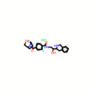 Cl.O=C(NCC(O)C1Cc2ccccc2CN1)c1ccc(C(=O)N2C3CCC2COC3)cc1F